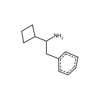 NC(Cc1ccccc1)C1CCC1